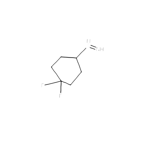 N=[SH]C1CCC(F)(F)CC1